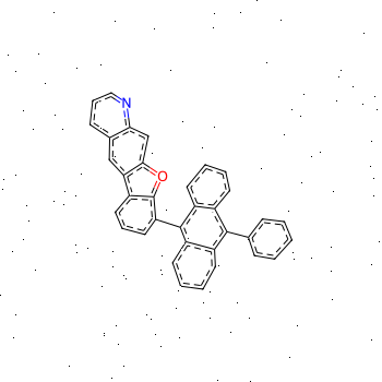 c1ccc(-c2c3ccccc3c(-c3cccc4c3oc3cc5ncccc5cc34)c3ccccc23)cc1